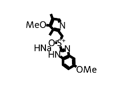 COc1ccc2[nH]c([S+]([O-])Cc3ncc(C)c(OC)c3C)nc2c1.[NaH]